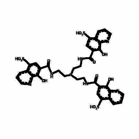 O=C(NCCN(CCNC(=O)c1cc(S(=O)(=O)O)c2cccnc2c1O)CCNC(=O)c1cc(S(=O)(=O)O)c2cccnc2c1O)c1cc(S(=O)(=O)O)c2cccnc2c1O